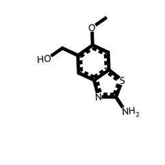 COc1cc2sc(N)nc2cc1CO